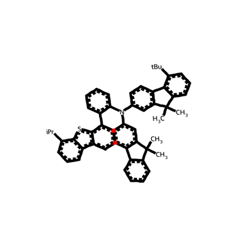 CC(C)c1cccc2c1sc1c(-c3ccccc3N(c3ccc4c(c3)C(C)(C)c3ccccc3-4)c3ccc4c(c3)C(C)(C)c3cccc(C(C)(C)C)c3-4)cccc12